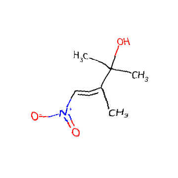 C/C(=C\[N+](=O)[O-])C(C)(C)O